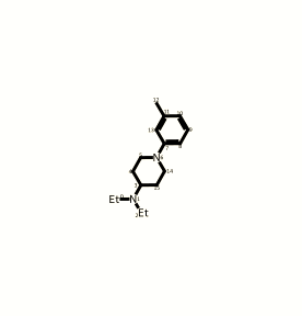 CCN(CC)C1CCN(c2cccc(C)c2)CC1